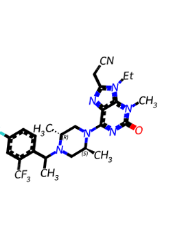 CCn1c(CC#N)nc2c(N3C[C@@H](C)N(C(C)c4ccc(F)cc4C(F)(F)F)C[C@@H]3C)nc(=O)n(C)c21